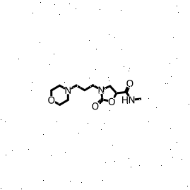 CNC(=O)C1CN(CCCN2CCOCC2)C(=O)O1